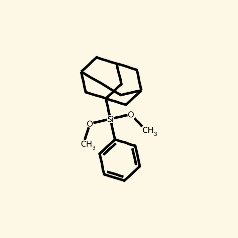 CO[Si](OC)(c1ccccc1)C12CC3CC(CC(C3)C1)C2